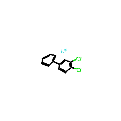 Clc1ccc(-c2cc[c]cc2)cc1Cl.F